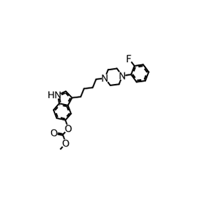 COC(=O)Oc1ccc2[nH]cc(CCCCN3CCN(c4ccccc4F)CC3)c2c1